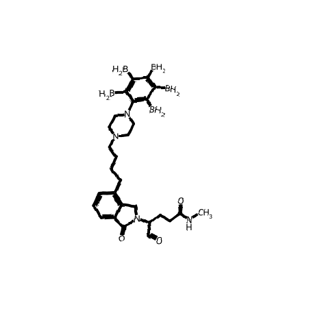 Bc1c(B)c(B)c(N2CCN(CCCCc3cccc4c3CN(C(C=O)CCC(=O)NC)C4=O)CC2)c(B)c1B